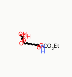 CCOC(=O)NOC(=O)CCCCCCCCC(=O)OCC(O)CO